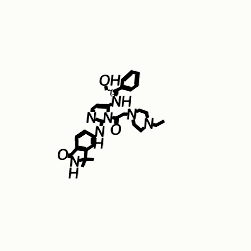 CCN1CCN(CC(=O)N2C(N[C@H](CO)c3ccccc3)=CC=NC2Nc2ccc3c(c2)C(C)(C)NC3=O)CC1